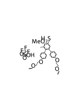 C=COCCOc1ccc(-c2cc(C)c(OC)c(C)c2-c2ccc(OCCOC=C)cc2)cc1.O=S(=O)(O)C(F)(F)F.S